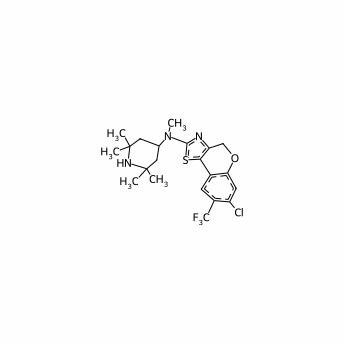 CN(c1nc2c(s1)-c1cc(C(F)(F)F)c(Cl)cc1OC2)C1CC(C)(C)NC(C)(C)C1